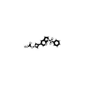 CC(C)(C)C(=O)ON1CC(c2cnc3c(ccn3S(=O)(=O)c3ccccc3)c2)C1